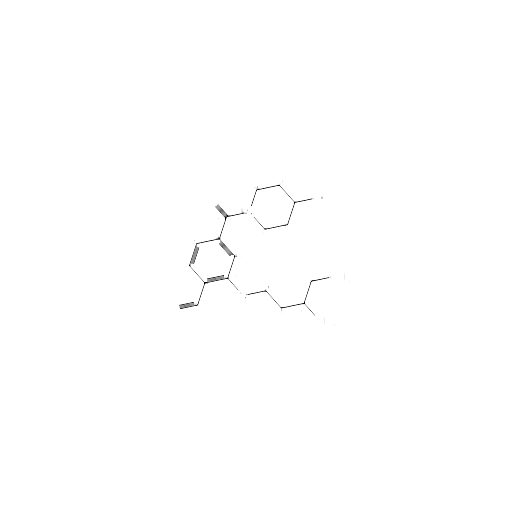 C=Cc1ccc(C(=O)N2CCC(O)CC2)cc1NCCC(C)CC